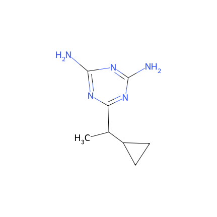 CC(c1nc(N)nc(N)n1)C1CC1